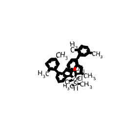 CC1=Cc2c(-c3cc(C)ccc3C)cccc2[CH]1[Zr]([Cl])([Cl])([CH]1C(C)=Cc2c(-c3cc(C)ccc3C)cccc21)[SiH](C)C